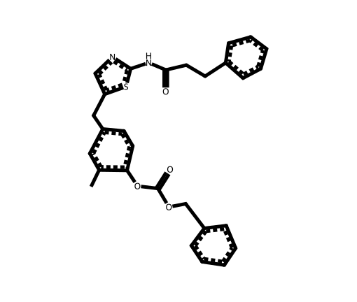 Cc1cc(Cc2cnc(NC(=O)CCc3ccccc3)s2)ccc1OC(=O)OCc1ccccc1